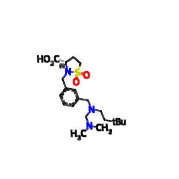 CN(C)CN(CCC(C)(C)C)Cc1cccc(CN2[C@H](C(=O)O)CCS2(=O)=O)c1